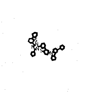 C1=C(c2nc(-c3ccccc3)nc(-c3cccc4c3sc3ccc(-n5c6ccccc6c6cc(-c7ccccc7)ccc65)cc34)n2)c2sc3ccccc3c2CC1